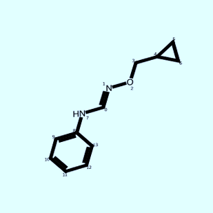 C(=NOCC1CC1)Nc1ccccc1